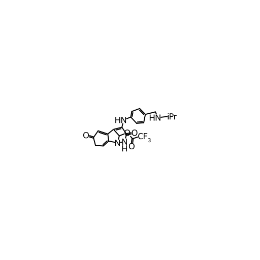 CC(C)NCc1ccc(NC2=C3C4=CC(=O)CC=C4N(NC2=O)C3OC(=O)C(F)(F)F)cc1